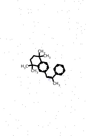 C/C(=C/c1ccc2c(c1)C(C)(C)CCC2(C)C)c1ccccc1